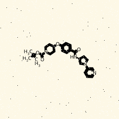 CC(C)(C)OC(=O)N1CCC(Oc2ccc(C(=O)N[C@H]3CCN(c4cccnc4)C3)cc2)CC1